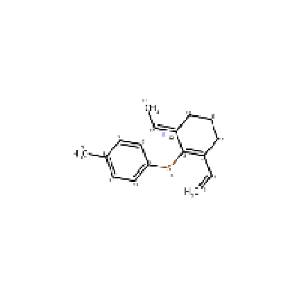 C=CC1=C(Sc2ccc(C)cc2)/C(=C/C)CCC1